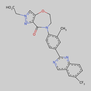 Cc1cc(-c2ncc3cc(C(F)(F)F)ccc3n2)ccc1N1CCOc2cn(CC(=O)O)nc2C1=O